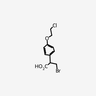 O=C(O)C(CBr)c1ccc(OCCCl)cc1